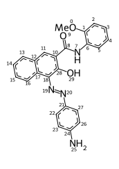 COc1ccccc1NC(=O)c1cc2ccccc2c(N=Nc2ccc(N)cc2)c1O